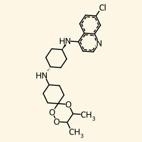 CC1OOC2(CCC(N[C@H]3CC[C@H](Nc4ccnc5cc(Cl)ccc45)CC3)CC2)OC1C